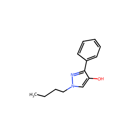 CCCCn1cc(O)c(-c2ccccc2)n1